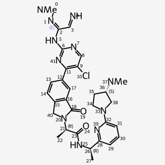 CN/N=C(\C=N)Nc1ncc(Cl)c(-c2ccc3c(c2)C(=O)N([C@H](C)C(=O)N[C@H](C)c2cccc(N4CC[C@H](NC)C4)n2)C3)n1